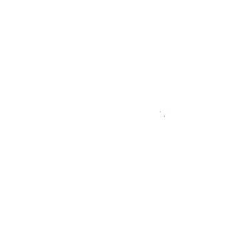 CCc1ccc(/C=C(/C)[N+](=O)[O-])s1